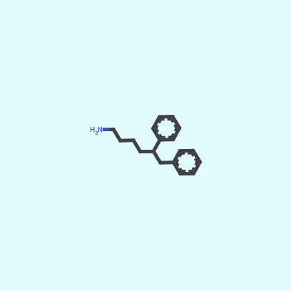 NCCCCC(Cc1ccccc1)c1ccccc1